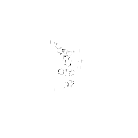 CC[C@H](C)[C@@H](C(=O)N[C@@H](Cc1ccccc1)[C@@H](O)CN(CC(C)C)S(=O)(=O)c1ccc(C=NO)cc1)N1CCN(Cc2cc(COC)ccn2)C1=O